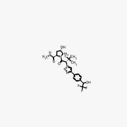 CNC(=O)[C@H]1C[C@H](O)CN1C(=O)[C@@H](n1cc(-c2ccc(C(O)C(F)(F)F)cc2)nn1)C(C)(C)C